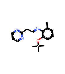 Cc1cccc(O[Si](C)(C)C)c1N=CCc1ncccn1